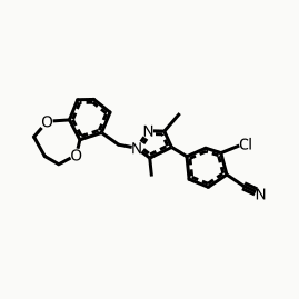 Cc1nn(Cc2cccc3c2OCCCO3)c(C)c1-c1ccc(C#N)c(Cl)c1